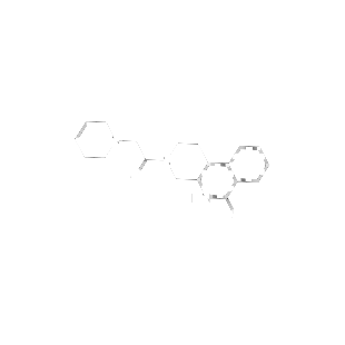 O=C(CN1CC=CCC1)N1CCc2c([nH]c(=O)c3ccccc23)C1